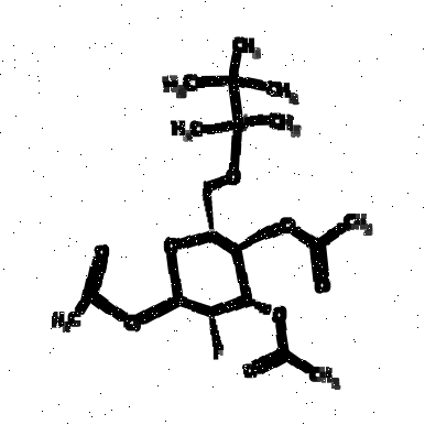 CC(=O)OC1O[C@H](CO[Si](C)(C)C(C)(C)C)[C@@H](OC(C)=O)[C@H](OC(C)=O)[C@@H]1F